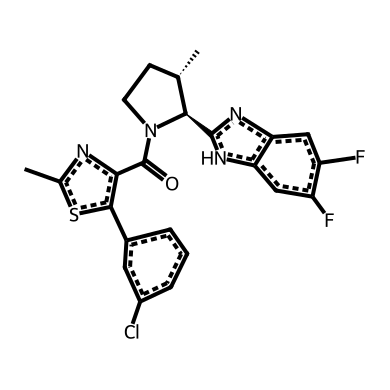 Cc1nc(C(=O)N2CC[C@H](C)[C@H]2c2nc3cc(F)c(F)cc3[nH]2)c(-c2cccc(Cl)c2)s1